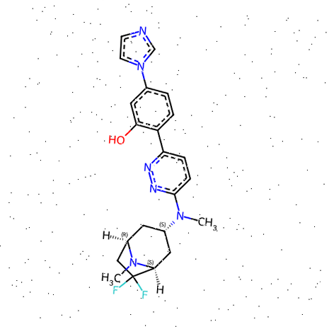 CN(c1ccc(-c2ccc(-n3ccnc3)cc2O)nn1)[C@H]1C[C@@H]2CC(F)(F)[C@H](C1)N2C